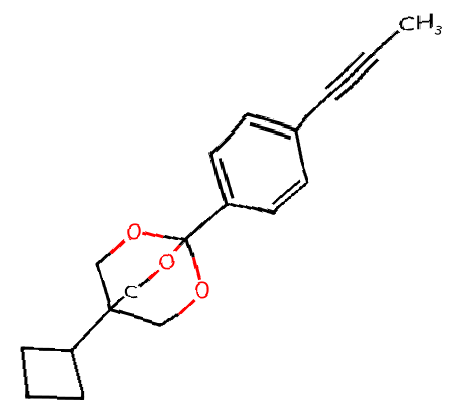 CC#Cc1ccc(C23OCC(C4CCC4)(CO2)CO3)cc1